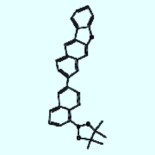 CC1(C)OB(c2cccc3cc(-c4ccc5cc6c(cc5c4)oc4ccccc46)ccc23)OC1(C)C